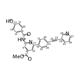 COC(=O)c1cc(NC(=O)c2ccc(O)cc2)nc(-c2ccc(C#Cc3cccnc3)cc2)c1